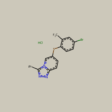 CC(C)c1nnc2ccc(Sc3ccc(Br)cc3C(F)(F)F)cn12.Cl